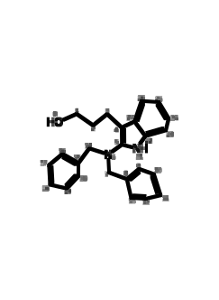 OCCCc1c(N(Cc2ccccc2)Cc2ccccc2)[nH]c2ccccc12